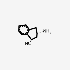 N#C[C@H]1C[C@@H](N)Cc2ccccc21